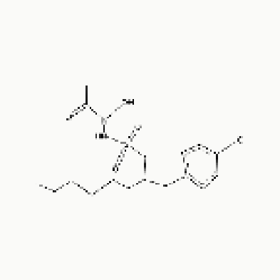 CCCCCCC(Cc1ccc(Cl)cc1)CS(=O)(=O)NN(O)C(C)=O